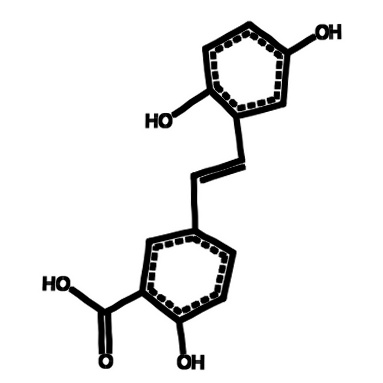 O=C(O)c1cc(/C=C/c2cc(O)ccc2O)ccc1O